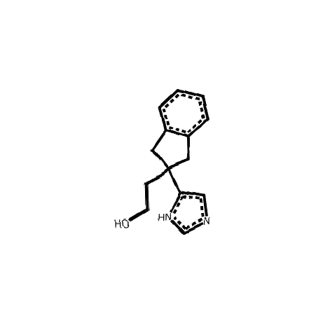 OCCC1(c2cnc[nH]2)Cc2ccccc2C1